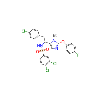 CCn1c(C(Cc2ccc(Cl)cc2)NS(=O)(=O)c2ccc(Cl)c(Cl)c2)cnc1Oc1ccc(F)cc1